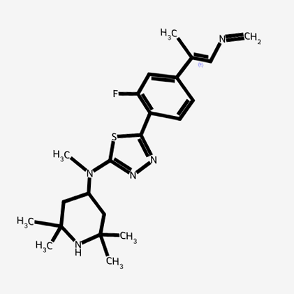 C=N/C=C(\C)c1ccc(-c2nnc(N(C)C3CC(C)(C)NC(C)(C)C3)s2)c(F)c1